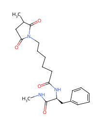 CNC(=O)[C@H](Cc1ccccc1)NC(=O)CCCCCN1C(=O)CC(C)C1=O